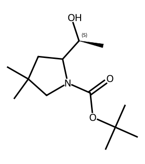 C[C@H](O)C1CC(C)(C)CN1C(=O)OC(C)(C)C